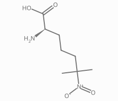 CC(C)(CCC[C@@H](N)C(=O)O)[N+](=O)[O-]